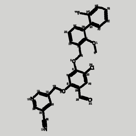 COc1c(COc2cc(OCc3cncc(C#N)c3)c(C=O)cc2Cl)cccc1-c1ccccc1F